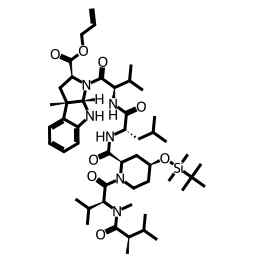 C=CCOC(=O)[C@@H]1C[C@@]2(C)c3ccccc3N[C@H]2N1C(=O)[C@H](NC(=O)[C@H](CC(C)C)NC(=O)[C@H]1C[C@@H](O[Si](C)(C)C(C)(C)C)CCN1C(=O)[C@H](C(C)C)N(C)C(=O)[C@H](C)C(C)C)C(C)C